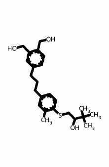 Cc1cc(CCCc2ccc(CO)c(CO)c2)ccc1SCC(O)C(C)(C)C